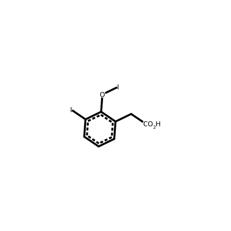 O=C(O)Cc1cccc(I)c1OI